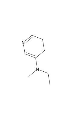 CCN(C)C1=CN=CCC1